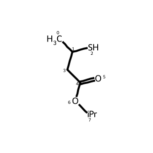 CC(S)CC(=O)OC(C)C